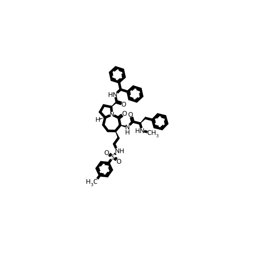 CN[C@H](Cc1ccccc1)C(=O)N[C@@H]1C(=O)N2[C@@H](CC[C@@H]1CCNS(=O)(=O)c1ccc(C)cc1)CC[C@H]2C(=O)NC(c1ccccc1)c1ccccc1